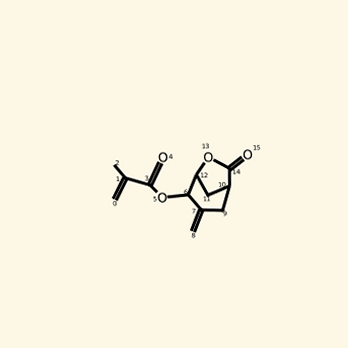 C=C(C)C(=O)OC1C(=C)CC2CC1OC2=O